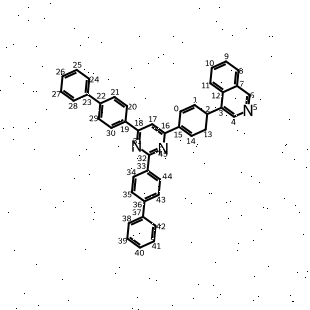 C1=CC(c2cncc3ccccc23)CC=C1c1cc(-c2ccc(-c3ccccc3)cc2)nc(-c2ccc(-c3ccccc3)cc2)n1